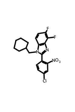 O=[N+]([O-])c1cc(Cl)ccc1-c1nc2c(F)c(F)ccc2n1CC1CCCCC1